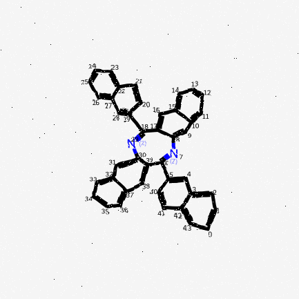 c1ccc2cc(/C3=N/c4cc5ccccc5cc4/C(c4ccc5ccccc5c4)=N\c4cc5ccccc5cc43)ccc2c1